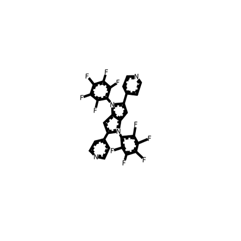 Fc1c(F)c(F)c(-n2c(-c3ccncc3)cc3c2cc(-c2ccncc2)n3-c2c(F)c(F)c(F)c(F)c2F)c(F)c1F